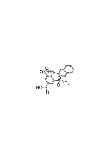 NS(=O)(=O)c1cc(C(=O)O)cc([N+](=O)[O-])c1Nc1ccc2ccccc2c1